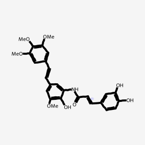 COc1cc(C=Cc2cc(OC)c(OC)c(OC)c2)cc(NC(=O)/C=C/c2ccc(O)c(O)c2)c1O